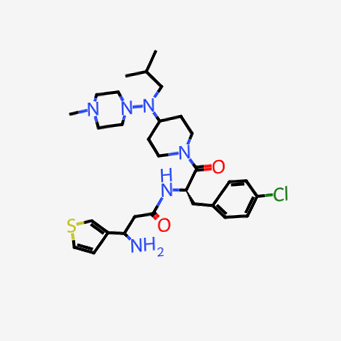 CC(C)CN(C1CCN(C(=O)[C@@H](Cc2ccc(Cl)cc2)NC(=O)CC(N)c2ccsc2)CC1)N1CCN(C)CC1